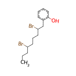 CCCC(Br)CCCC(Br)Cc1ccccc1O